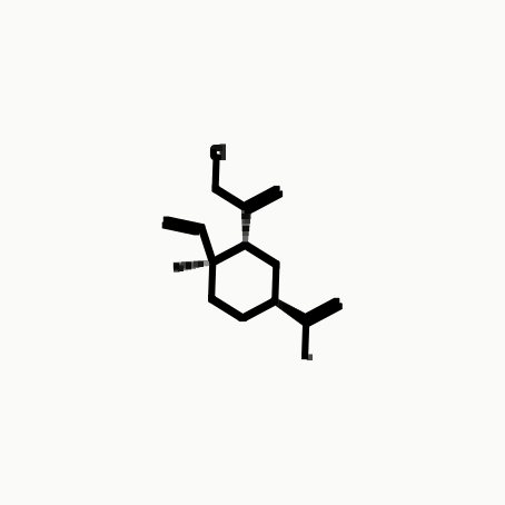 [CH2]C(=C)[C@H]1CC[C@@](C)(C=C)[C@H](C(=C)CCl)C1